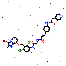 Cc1nc2c(OCc3c(Cl)ccc(N(C)C(=O)CNC(=O)/C=C/c4ccc(NC(=O)Cc5ccncc5)cc4)c3Cl)cccn2c1Br